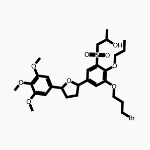 CCCOc1c(OCCCBr)cc(C2CCC(c3cc(OC)c(OC)c(OC)c3)O2)cc1S(=O)(=O)CC(C)O